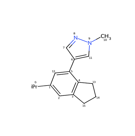 CC(C)c1cc2c(c(-c3cnn(C)c3)c1)CCC2